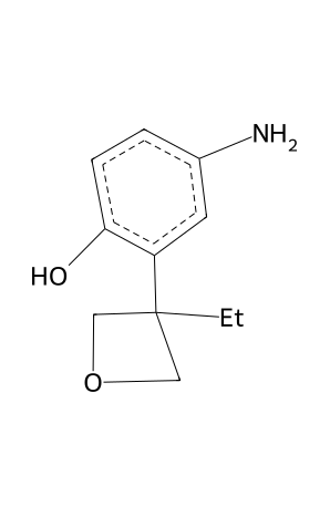 CCC1(c2cc(N)ccc2O)COC1